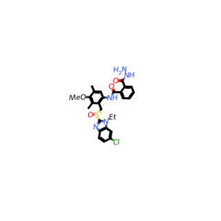 CCn1c([S+]([O-])Cc2c(NC(=O)c3ccccc3C(=O)NN)cc(C)c(OC)c2C)nc2ccc(Cl)cc21